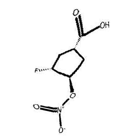 O=C(O)[C@H]1C[C@@H](F)[C@H](O[N+](=O)[O-])C1